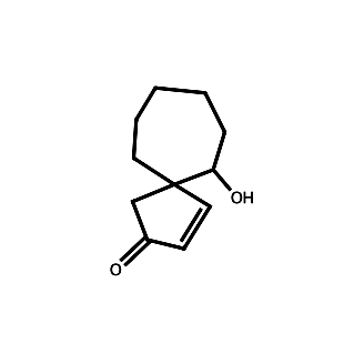 O=C1C=CC2(CCCCCC2O)C1